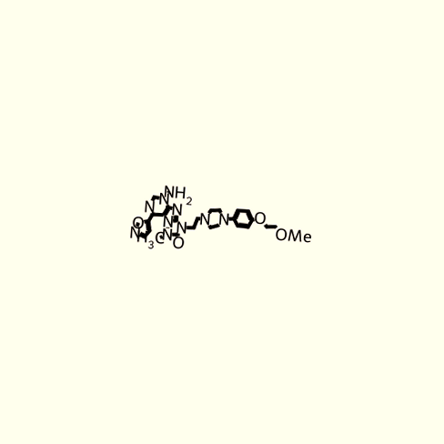 COCCOc1ccc(N2CCN(CCn3c(=O)n(C)n4c5c(nc34)N(N)CN=C5c3ccno3)CC2)cc1